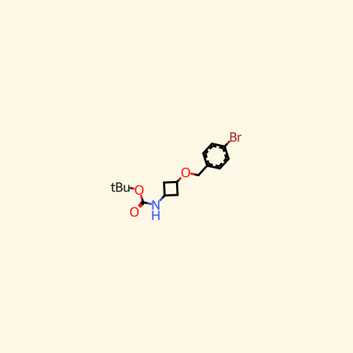 CC(C)(C)OC(=O)NC1CC(OCc2ccc(Br)cc2)C1